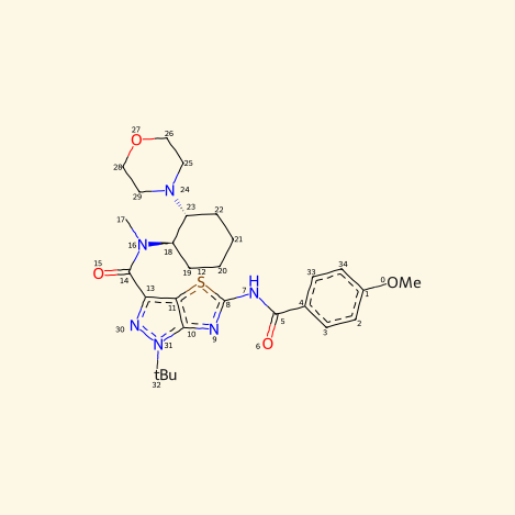 COc1ccc(C(=O)Nc2nc3c(s2)c(C(=O)N(C)[C@@H]2CCCC[C@H]2N2CCOCC2)nn3C(C)(C)C)cc1